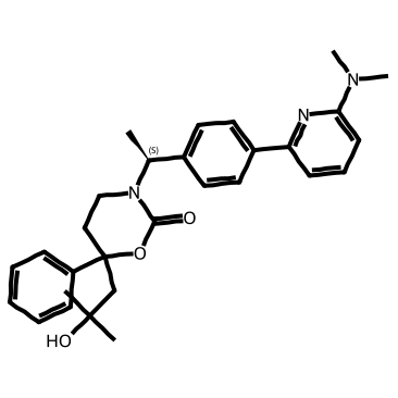 C[C@@H](c1ccc(-c2cccc(N(C)C)n2)cc1)N1CCC(CC(C)(C)O)(c2ccccc2)OC1=O